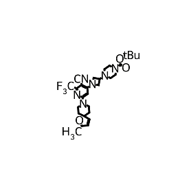 CC1C=CC2(CCN(c3cc(N4CC(N5CCN(C(=O)OC(C)(C)C)CC5)C4)c(C#N)c(C(F)(F)F)n3)CC2)O1